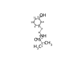 CC(C)[S+]([O-])NCCc1cccc(O)c1